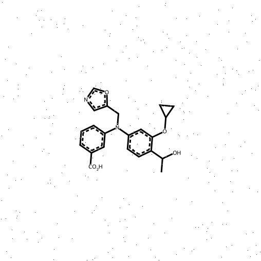 CC(O)c1ccc(N(Cc2cnco2)c2cccc(C(=O)O)c2)cc1OC1CC1